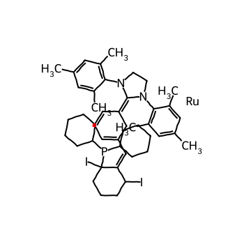 Cc1cc(C)c(N2CCN(c3c(C)cc(C)cc3C)C2=C2C=CC=C(C=C3C(I)CCCC3(I)P(C3CCCCC3)C3CCCCC3)C2)c(C)c1.[Ru]